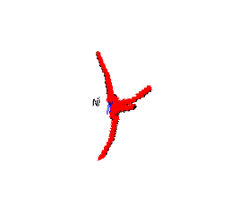 CCCCCCCCCCCCCCCC=CC1=C(c2ccc(CCCCCCCCCCCCCCCCCCCCCCCCC)cc2)[N+](=[N-])C(c2ccc(CCCCCCCCCCCCCCCCCCCCCCCCC)cc2)=C1CCCCCCCC.[Ni]